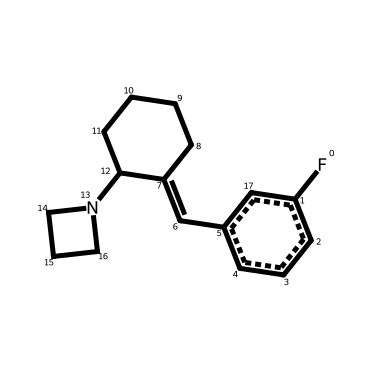 Fc1cccc(C=C2CCCCC2N2CCC2)c1